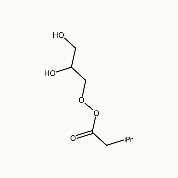 CC(C)CC(=O)OOCC(O)CO